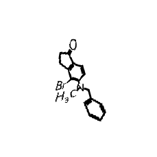 CN(Cc1ccccc1)c1ccc2c(c1Br)CCC2=O